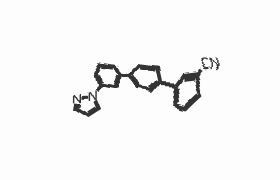 N#Cc1cccc(-c2ccc(-c3[c]ccc(-n4cccn4)c3)cc2)c1